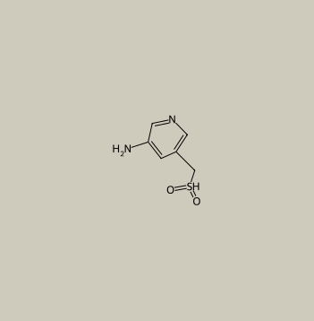 Nc1cncc(C[SH](=O)=O)c1